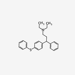 CCN(CC)CCC(c1ccccc1)c1ccc(Sc2ccccc2)cc1